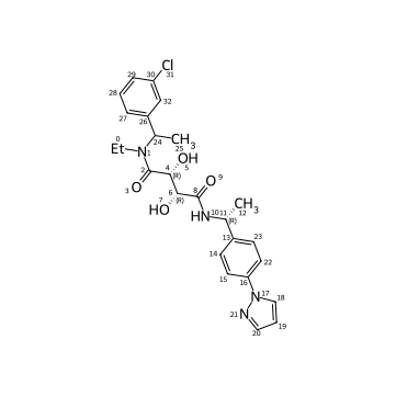 CCN(C(=O)[C@H](O)[C@@H](O)C(=O)N[C@H](C)c1ccc(-n2cccn2)cc1)C(C)c1cccc(Cl)c1